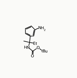 CCC(C)(NC(=O)OC(C)(C)C)c1cccc(N)c1